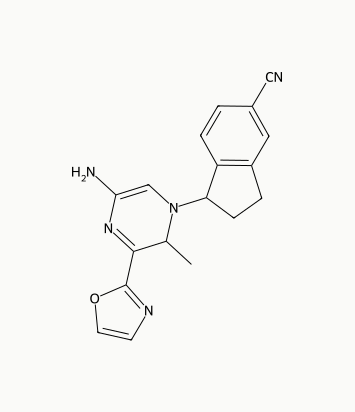 CC1C(c2ncco2)=NC(N)=CN1C1CCc2cc(C#N)ccc21